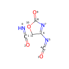 N=C=O.O=C=NC1=NC(=O)OC1